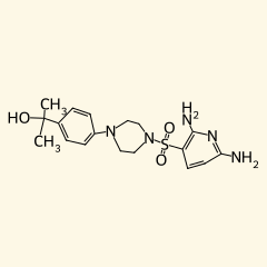 CC(C)(O)c1ccc(N2CCN(S(=O)(=O)c3ccc(N)nc3N)CC2)cc1